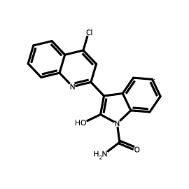 NC(=O)n1c(O)c(-c2cc(Cl)c3ccccc3n2)c2c[c]ccc21